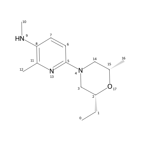 CC[C@@H]1CN(c2ccc(NC)c(C)n2)C[C@H](C)O1